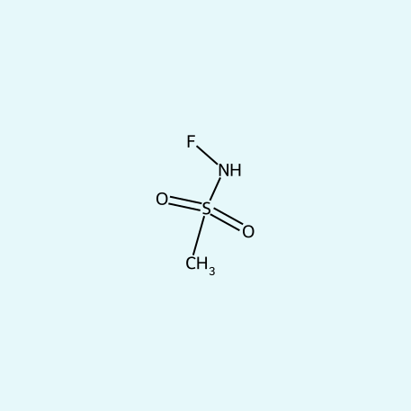 CS(=O)(=O)NF